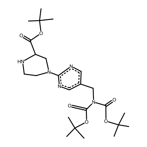 CC(C)(C)OC(=O)C1CN(c2ncc(CN(C(=O)OC(C)(C)C)C(=O)OC(C)(C)C)cn2)CCN1